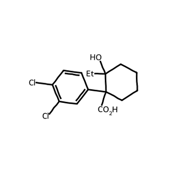 CCC1(O)CCCCC1(C(=O)O)c1ccc(Cl)c(Cl)c1